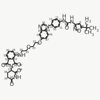 CC(C)(C)c1cc(NC(=O)Nc2ccc(-n3cnc4cc(OCCOCCNc5cccc6c5C(=O)N(C5CCC(=O)NC5=O)C6=O)ccc43)cc2)no1